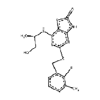 Cc1cccc(CSc2nc(N[C@H](C)CO)c3sc(=O)[nH]c3n2)c1F